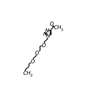 CCCCOCCOCCOCCn1cc(C(C)=O)nn1